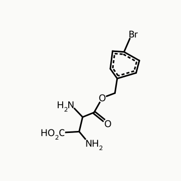 NC(C(=O)O)C(N)C(=O)OCc1ccc(Br)cc1